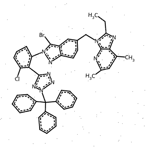 CCc1nc2c(C)cc(C)nc2n1Cc1ccc2nn(-c3cccc(Cl)c3-c3nnn(C(c4ccccc4)(c4ccccc4)c4ccccc4)n3)c(Br)c2c1